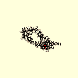 [2H]C([2H])([2H])C(C)([C@H](NC(=O)c1cc2cc(O[C@H]3C[C@@H](NC(=O)C[C@@H]4N=C(c5ccc(Cl)cc5)c5c(sc(C)c5C)-n5c(C)nnc54)C3)ccc2o1)C(=O)N1C[C@H](O)C[C@H]1C(=O)N[C@@H](C)c1ccc(-c2scnc2C)cc1)C([2H])([2H])[2H]